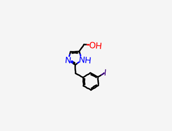 OCc1cnc(Cc2cccc(I)c2)[nH]1